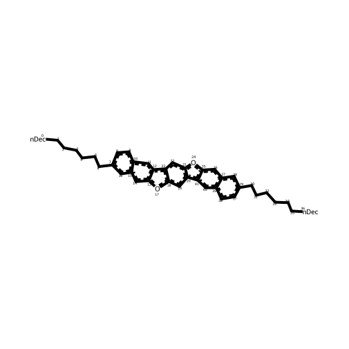 CCCCCCCCCCCCCCCCc1ccc2cc3c(cc2c1)oc1cc2c(cc13)oc1cc3cc(CCCCCCCCCCCCCCCC)ccc3cc12